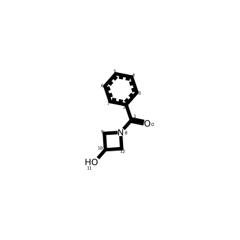 O=C(c1cc[c]cc1)N1CC(O)C1